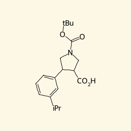 CC(C)c1cccc(C2CN(C(=O)OC(C)(C)C)CC2C(=O)O)c1